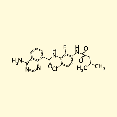 CC(C)CS(=O)(=O)Nc1ccc(Cl)c(NC(=O)c2cccc3c(N)ncnc23)c1F